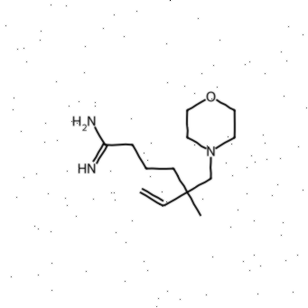 C=CC(C)(CCCC(=N)N)CN1CCOCC1